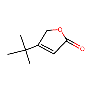 CC(C)(C)C1=CC(=O)OC1